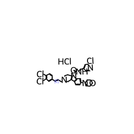 Cl.O=C(NCc1ccnc(Cl)c1)n1c2c(c3ccc(N4CCOCC4)cc31)CN(C/C=C/c1ccc(Cl)c(Cl)c1)CC2